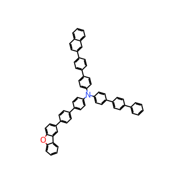 c1ccc(-c2ccc(-c3ccc(N(c4ccc(-c5ccc(-c6ccc7ccccc7c6)cc5)cc4)c4ccc(-c5ccc(-c6ccc7oc8ccccc8c7c6)cc5)cc4)cc3)cc2)cc1